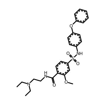 CCN(CC)CCNC(=O)c1ccc(S(=O)(=O)Nc2ccc(Oc3ccccc3)cc2)cc1OC